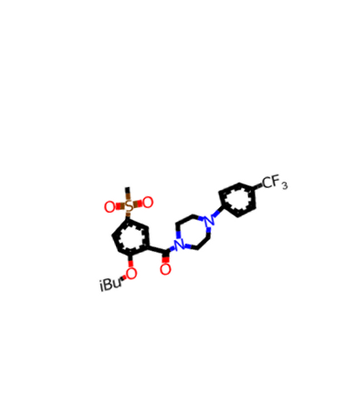 CCC(C)Oc1ccc(S(C)(=O)=O)cc1C(=O)N1CCN(c2ccc(C(F)(F)F)cc2)CC1